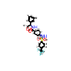 C[C@@H](O)[C@@H](NC(=O)C1CCC(NS(=O)(=O)c2ccc(C(F)(F)F)cc2)CC1)c1ccccc1